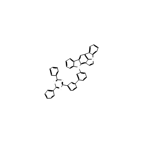 c1ccc(-c2nc(-c3ccccc3)nc(-c3cccc(-c4cccc(-n5c6ccccc6c6cc7c8ccccc8n8ccc(c65)c78)c4)c3)n2)cc1